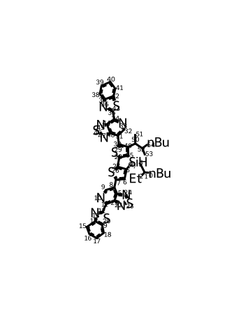 CCCCC(CC)C[Si@@H]1c2cc(-c3cnc(-c4nc5ccccc5s4)c4nsnc34)sc2-c2sc(-c3cnc(-c4nc5ccccc5s4)c4nsnc34)c(C(C)C(C)CCCC)c21